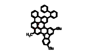 Cc1cc2c3c(c1)-n1c4ccc(C(C)(C)C)cc4c4cc(C(C)(C)C)cc(c41)B3c1cc(-c3ccccc3-c3ccccc3)cc(-c3ccccc3-c3ccccc3)c1O2